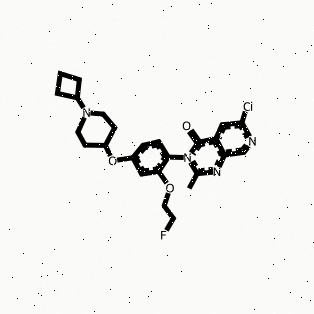 Cc1nc2cnc(Cl)cc2c(=O)n1-c1ccc(OC2CCN(C3CCC3)CC2)cc1OCCF